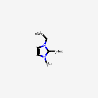 CCCCCCCCCCCN1C=CN(CCCC)C1CCCCCC